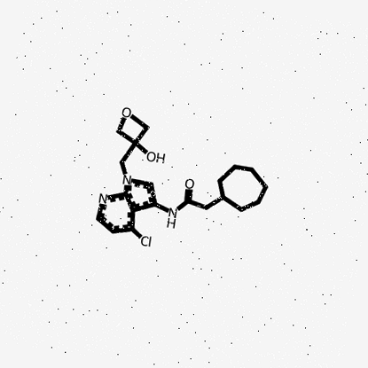 O=C(CC1CCCCCC1)Nc1cn(CC2(O)COC2)c2nccc(Cl)c12